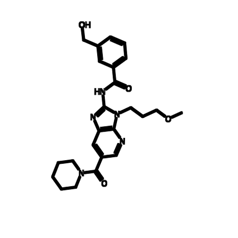 COCCCn1c(NC(=O)c2cccc(CO)c2)nc2cc(C(=O)N3CCCCC3)cnc21